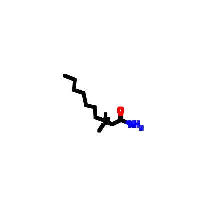 CCCCCCC[Si](C)(C)CC(N)=O